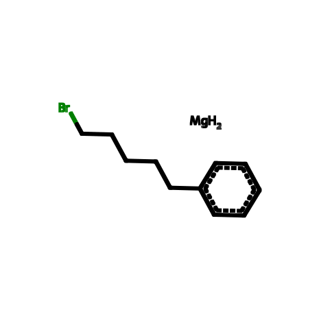 BrCCCCCc1ccccc1.[MgH2]